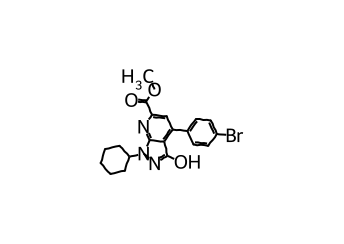 COC(=O)c1cc(-c2ccc(Br)cc2)c2c(O)nn(C3CCCCC3)c2n1